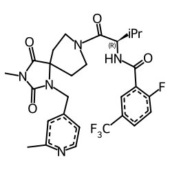 Cc1cc(CN2C(=O)N(C)C(=O)C23CCN(C(=O)[C@H](NC(=O)c2cc(C(F)(F)F)ccc2F)C(C)C)CC3)ccn1